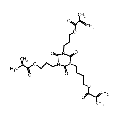 C=C(C)C(=O)OCCCCn1c(=O)n(CCCOC(=O)C(=C)C)c(=O)n(CCCOC(=O)C(=C)C)c1=O